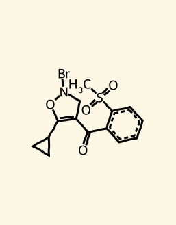 CS(=O)(=O)c1ccccc1C(=O)C1=C(C2CC2)ON(Br)C1